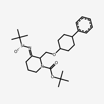 CC(C)(C)OC(=O)N1CCCC(=N[S@+]([O-])C(C)(C)C)C1COC1CCC(c2ccccc2)CC1